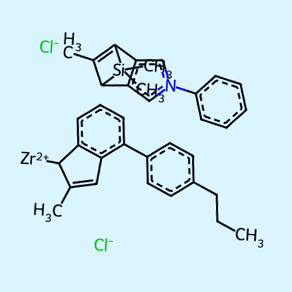 CC1=C2c3cn(-c4ccccc4)cc3C1[Si]2(C)C.CCCc1ccc(-c2cccc3c2C=C(C)[CH]3[Zr+2])cc1.[Cl-].[Cl-]